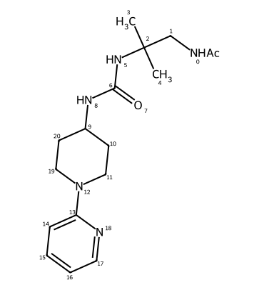 CC(=O)NCC(C)(C)NC(=O)NC1CCN(c2ccccn2)CC1